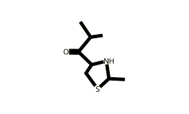 CC1NC(C(=O)C(C)C)CS1